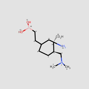 CN(C)C[C@H]1CCC(CCB(O)O)C[C@]1(N)C(=O)O